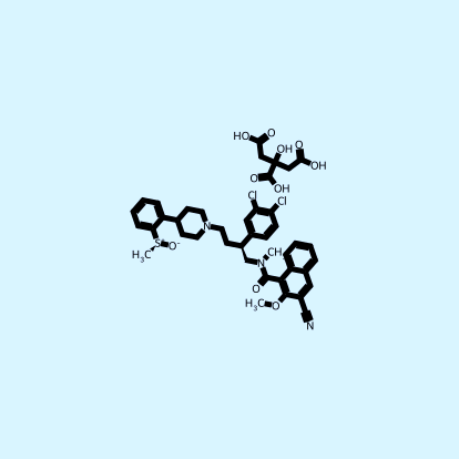 COc1c(C#N)cc2ccccc2c1C(=O)N(C)C[C@@H](CCN1CCC(c2ccccc2[S@+](C)[O-])CC1)c1ccc(Cl)c(Cl)c1.O=C(O)CC(O)(CC(=O)O)C(=O)O